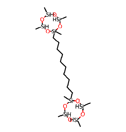 C[SiH]1O[SiH](C)O[Si](C)(CCCCCCCCCC[Si]2(C)O[SiH](C)O[SiH](C)O[SiH](C)O2)O[SiH](C)O1